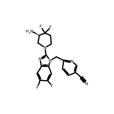 N#Cc1ccc(Cn2c(N3CCC(F)(F)[C@H](N)C3)nc3cc(F)c(F)cc32)nc1